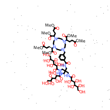 COC(=O)CCC(C(=O)OC)N1CCN(Cc2cccc(C(=O)NCC(CNC(=O)C(O)C(O)C(O)C(O)CO)(CNC(=O)C(O)C(O)C(O)C(O)CO)CNC(=O)C(O)C(O)C(O)C(O)CO)c2)CCN([C@H](CCC(=O)OC)C(=O)OC)CCN(C(CCC(=O)OC)C(=O)OC)CC1